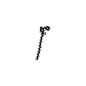 CCCCCCCCCCCCCCCCCCCC(=O)N1CCN(C)C(Cc2ccccc2)C1